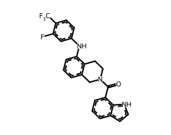 O=C(c1cccc2cc[nH]c12)N1CCc2c(cccc2Nc2ccc(C(F)(F)F)c(F)c2)C1